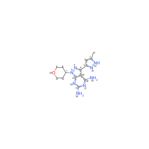 Cc1cc(-c2nn(C3CCOCC3)c3nc(N)nc(N)c23)n[nH]1